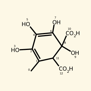 CC1=C(O)C(O)=C(O)C(O)(C(=O)O)C1C(=O)O